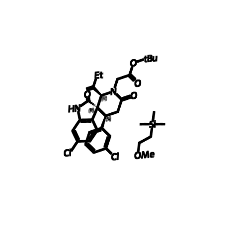 C=C(CC)[C@H]1N(CC(=O)OC(C)(C)C)C(=O)C[C@@H](c2cccc(Cl)c2)[C@]12C(=O)Nc1cc(Cl)ccc12.COCC[Si](C)(C)C